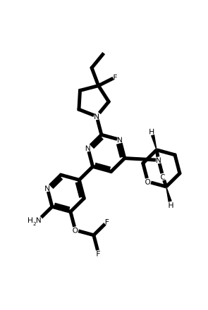 CCC1(F)CCN(c2nc(-c3cnc(N)c(OC(F)F)c3)cc(N3C[C@@H]4CC[C@H]3CO4)n2)C1